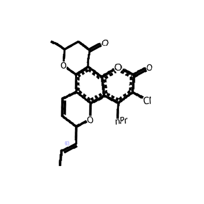 C/C=C/C1C=Cc2c3c(c4oc(=O)c(Cl)c(CCC)c4c2O1)C(=O)CC(C)O3